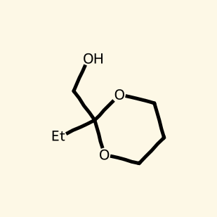 CCC1(CO)OCCCO1